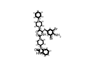 Nc1c(Br)cc(C[C@@H](NC(=O)N2CCC(n3c(=O)[nH]c4ccccc43)CC2)C(=O)N2CCN(c3ccccc3)CC2)cc1Br